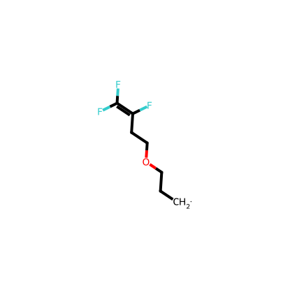 [CH2]CCOCCC(F)=C(F)F